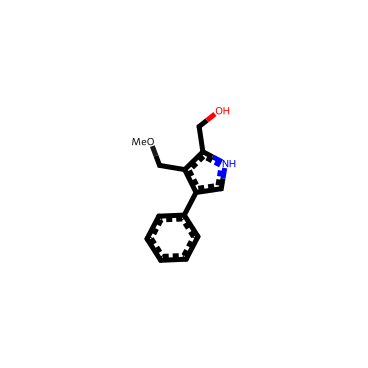 COCc1c(-c2ccccc2)c[nH]c1CO